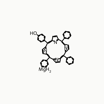 Oc1ccc(C2=C3C=CC(=N3)C(c3ccccc3)=C3C=CC(=N3)C(c3ccccc3)=C3C=CC(=N3)C(c3ccccc3)=C3C=CC2=N3)cc1.[MgH2]